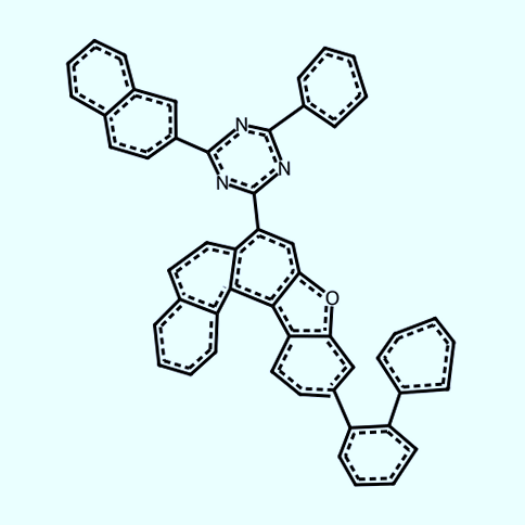 c1ccc(-c2nc(-c3ccc4ccccc4c3)nc(-c3cc4oc5cc(-c6ccccc6-c6ccccc6)ccc5c4c4c3ccc3ccccc34)n2)cc1